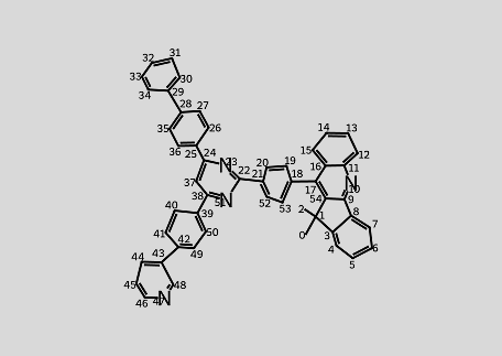 CC1(C)c2ccccc2-c2nc3ccccc3c(-c3ccc(-c4nc(-c5ccc(-c6ccccc6)cc5)cc(-c5ccc(-c6cccnc6)cc5)n4)cc3)c21